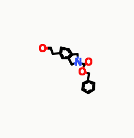 O=CCc1ccc2c(c1)CN(C(=O)OCc1ccccc1)C2